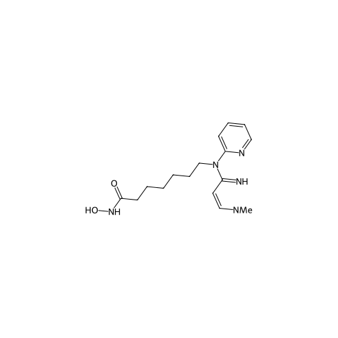 CN/C=C\C(=N)N(CCCCCCC(=O)NO)c1ccccn1